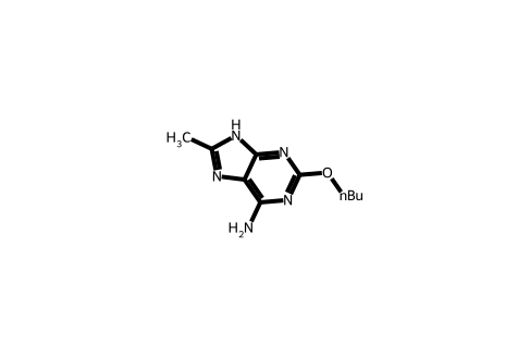 CCCCOc1nc(N)c2nc(C)[nH]c2n1